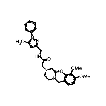 COc1ccc(CN2CCN(CC(=O)NCc3cc(C)n(-c4ccccc4)n3)CC2)c(OC)c1OC